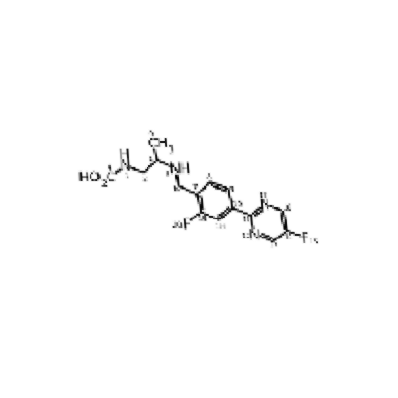 CC(CNC(=O)O)NCc1ccc(-c2ncc(F)cn2)cc1F